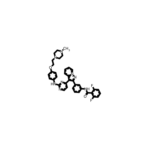 CN1CCN(CCOc2ccc(Nc3nccc(-c4c(-c5cccc(NC(=O)c6c(F)cccc6F)c5)nn5ccccc45)n3)cc2)CC1